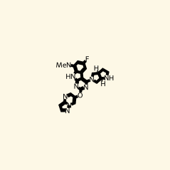 CNc1cc(F)cc2c1[nH]c1nc(Oc3cnc4ccnn4c3)nc(N3C[C@H]4CCN[C@H]4C3)c12